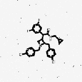 O=C(NCC1CC1)C(c1cc(F)cc(F)c1)C1CN(Cc2ccc(Cl)cc2)C1Cc1ccc(Cl)cc1